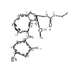 CCOC(=O)Oc1cn2ncnc(Nc3ccc(Br)cc3F)c2c1OC